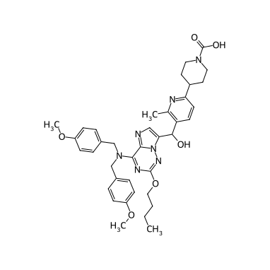 CCCCOc1nc(N(Cc2ccc(OC)cc2)Cc2ccc(OC)cc2)c2ncc(C(O)c3ccc(C4CCN(C(=O)O)CC4)nc3C)n2n1